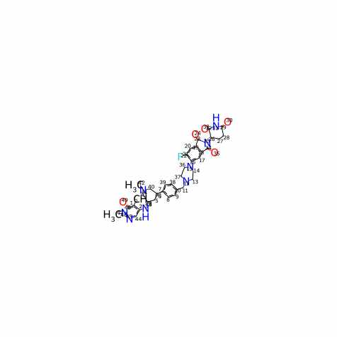 Cc1c(N[C@@H]2C[C@H](c3ccc(CN4CCN(c5cc6c(cc5F)C(=O)N(C5CCC(=O)NC5=O)C6=O)CC4)cc3)CN(C)C2)cnn(C)c1=O